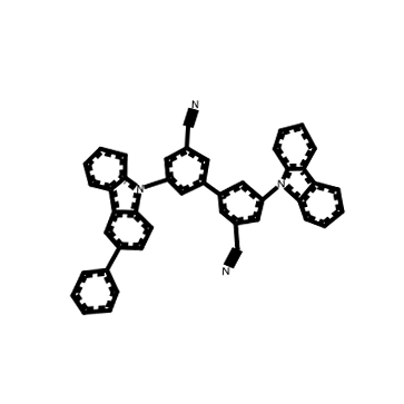 N#Cc1cc(-c2cc(C#N)cc(-n3c4ccccc4c4cc(-c5ccccc5)ccc43)c2)cc(-n2c3ccccc3c3ccccc32)c1